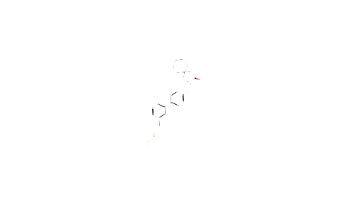 O=C1OC2(CCCCC2)CN1Cc1ccc(-c2cccc(COCCO)c2)cc1